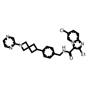 CCc1nc2ccc(Cl)cn2c1C(=O)NCc1ccc(C2CC3(C2)CN(c2cnccn2)C3)cc1